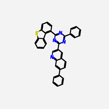 c1ccc(-c2ccc3cc(-c4nc(-c5ccccc5)nc(-c5cccc6sc7ccccc7c56)n4)cnc3c2)cc1